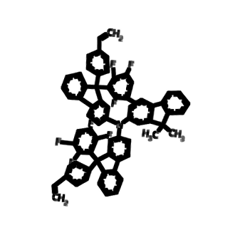 C=Cc1ccc(C2(c3c(F)c(F)cc(F)c3F)c3ccccc3-c3ccc(N(c4ccc5c(c4)C(C)(C)c4ccccc4-5)c4ccc5c(c4)C(c4ccc(C=C)cc4)(c4c(F)c(F)cc(F)c4F)c4ccccc4-5)cc32)cc1